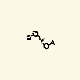 O=C(NCc1ccnc(-n2ccnc2)c1)NC1CCCC(C2CC2)C1